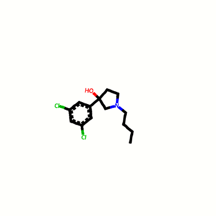 CCCCN1CCC(O)(c2cc(Cl)cc(Cl)c2)C1